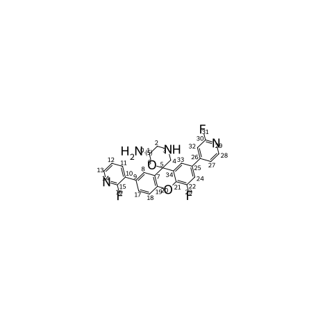 N[C@@H]1CNCC2(O1)c1cc(-c3cccnc3F)ccc1Oc1c(F)cc(-c3ccnc(F)c3)cc12